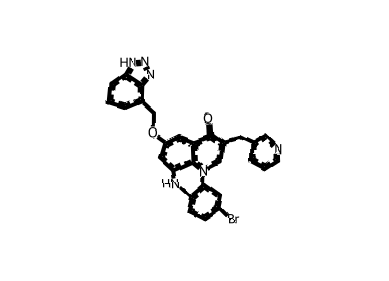 O=c1c(Cc2cccnc2)cn2c3c(cc(OCc4cccc5[nH]nnc45)cc13)Nc1ccc(Br)cc1-2